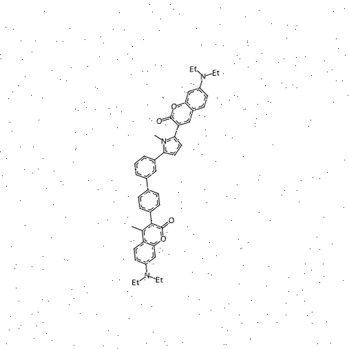 CCN(CC)c1ccc2cc(-c3ccc(-c4cccc(-c5ccc(-c6c(C)c7ccc(N(CC)CC)cc7oc6=O)cc5)c4)n3C)c(=O)oc2c1